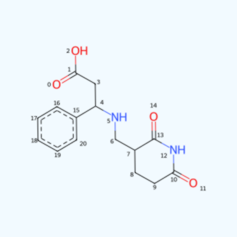 O=C(O)CC(NCC1CCC(=O)NC1=O)c1ccccc1